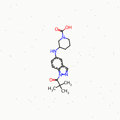 CC(C)(C)C(=O)n1ncc2cc(NC3CCCN(C(=O)O)C3)ccc21